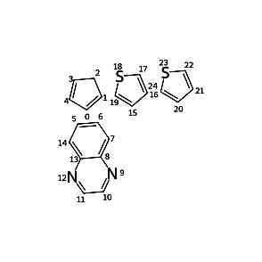 C1=CCC=C1.c1ccc2nccnc2c1.c1ccsc1.c1ccsc1